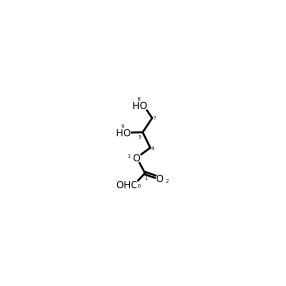 O=CC(=O)OCC(O)CO